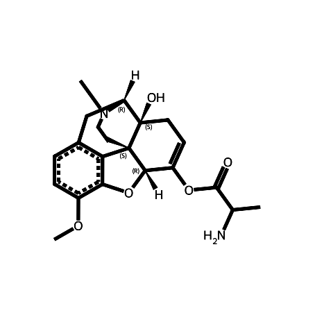 COc1ccc2c3c1O[C@H]1C(OC(=O)C(C)N)=CC[C@@]4(O)[C@@H](C2)N(C)CC[C@]314